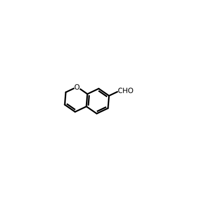 O=Cc1ccc2c(c1)OCC=C2